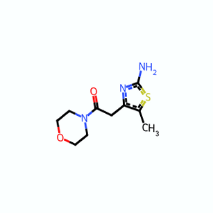 Cc1sc(N)nc1CC(=O)N1CCOCC1